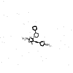 Cc1nc(N)nc(N2CCCC(c3ccccc3)C2)c1C#Cc1ccc(N)nc1